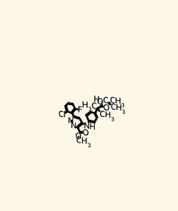 COC(=O)c1nnc(-c2c(F)cccc2Cl)cc1Nc1ccc(C(C)(C)C(=O)OC(C)(C)C)cc1